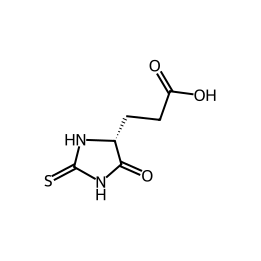 O=C(O)CC[C@H]1NC(=S)NC1=O